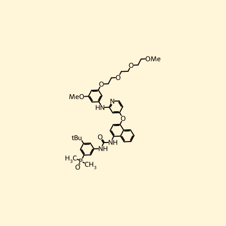 COCCOCCOCCOc1cc(Nc2cc(Oc3ccc(NC(=O)Nc4cc(C(C)(C)C)cc(P(C)(C)=O)c4)c4ccccc34)ccn2)cc(OC)c1